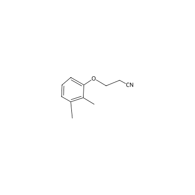 Cc1cccc(OCCC#N)c1C